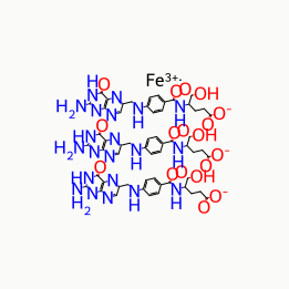 Nc1nc2ncc(CNc3ccc(C(=O)NC(CCC(=O)[O-])C(=O)O)cc3)nc2c(=O)[nH]1.Nc1nc2ncc(CNc3ccc(C(=O)NC(CCC(=O)[O-])C(=O)O)cc3)nc2c(=O)[nH]1.Nc1nc2ncc(CNc3ccc(C(=O)NC(CCC(=O)[O-])C(=O)O)cc3)nc2c(=O)[nH]1.[Fe+3]